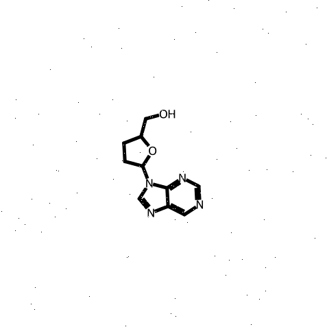 OCC1CCC(n2cnc3cncnc32)O1